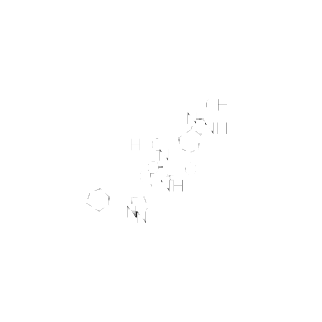 Cc1nc2cc3c(cc2[nH]1)OC[C@H](NC(=O)c1cnn(Cc2ccccc2)c1)C(=O)N3C